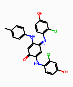 Cc1ccc(NC2=CC(=O)C(Nc3ccc(O)cc3Cl)=C/C2=N/c2ccc(O)cc2Cl)cc1